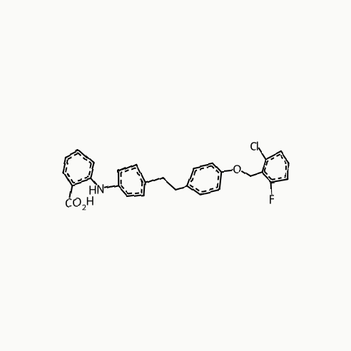 O=C(O)c1ccccc1Nc1ccc(CCc2ccc(OCc3c(F)cccc3Cl)cc2)cc1